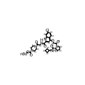 CCCCOC(=O)N1CCN(C(=O)CNC(=O)c2cc(OCC(=O)N3CCC[C@H]3C(=O)NC3CCC3)c3ccc(Cl)cc3n2)CC1